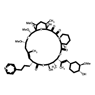 CO[C@H]1C/C(C)=C/[C@@H](CCCc2ccncc2)C(=O)C[C@H](O)[C@@H](C)[C@@H](/C(C)=C/[C@@H]2CC[C@@H](O)[C@H](OC)C2)OC(=O)[C@@H]2CCCCN2C(=O)C(=O)[C@]2(O)O[C@H]([C@@H](OC)C1)[C@@H](OC)C[C@H]2C